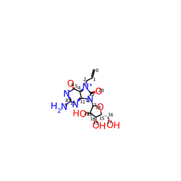 C=CC[N+]1=C2C(=O)N=C(N)N=C2N([C@@H]2O[C@H](CO)[C@@H](O)[C@H]2O)C1=O